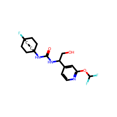 O=C(NC(CO)c1ccnc(OC(F)F)c1)NC12CCC(F)(CC1)CC2